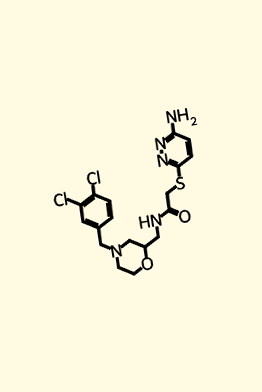 Nc1ccc(SCC(=O)NCC2CN(Cc3ccc(Cl)c(Cl)c3)CCO2)nn1